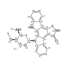 CN[C@H]1C[C@@H](n2c3ccccc3c3c4c(c5c6ccccc6[nH]c5c32)CNC4=O)O[C@H](C)[C@H]1OC